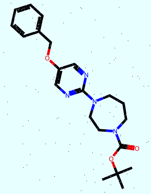 CC(C)(C)OC(=O)N1CCCN(c2ncc(OCc3ccccc3)cn2)CC1